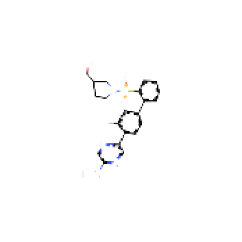 Nc1cnc(-c2ccc(-c3ccccc3S(=O)(=O)N3CCC(CO)C3)cc2F)cn1